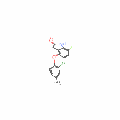 O=C1Cc2c(Oc3ccc([N+](=O)[O-])cc3Cl)ccc(F)c2N1